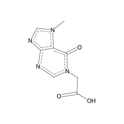 Cn1cnc2ncn(CC(=O)O)c(=O)c21